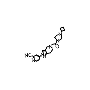 N#Cc1cc(-n2cc3c(n2)CCN(CC(=O)N2CCN(C4CCC4)CC2)C3)ccn1